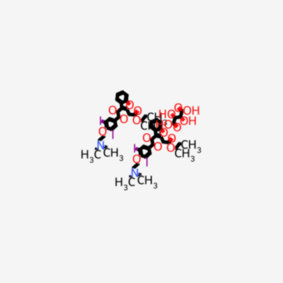 CC[C@H](C)OC(=O)Cc1oc2ccccc2c1C(=O)C(=O)c1cc(I)c(OCCN(CC)CC)c(I)c1.CC[C@H](C)OC(=O)Cc1oc2ccccc2c1C(=O)C(=O)c1cc(I)c(OCCN(CC)CC)c(I)c1.O=C(O)C(O)C(O)C(=O)O